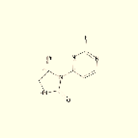 CC(C)[C@H]1CNC(=O)N1c1ccnc(F)n1